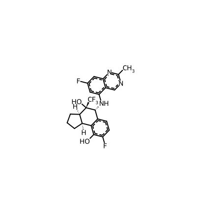 Cc1ncc2c(N[C@@H]3c4ccc(F)c(O)c4[C@H]4CCC[C@H]4[C@@]3(O)C(F)(F)F)cc(F)cc2n1